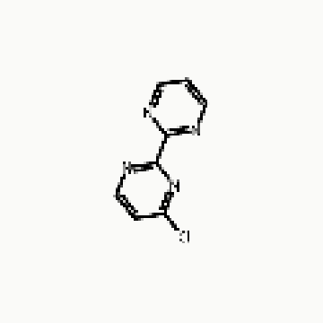 Clc1ccnc(-c2ncccn2)n1